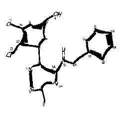 Cc1nnc(-c2cc(O)cc(Cl)c2Cl)c(NCc2ccccc2)n1